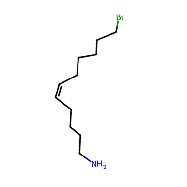 NCCCC/C=C\CCCCCBr